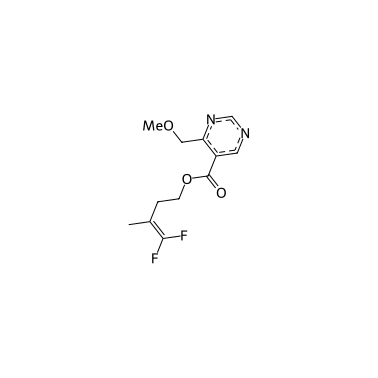 COCc1ncncc1C(=O)OCCC(C)=C(F)F